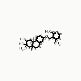 CC[C@@]12C[C@H](O)[C@@](C)(O)C[C@H]1CCc1cc(OCc3c(C)ccnc3C)ccc12